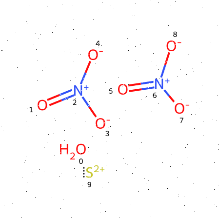 O.O=[N+]([O-])[O-].O=[N+]([O-])[O-].[S+2]